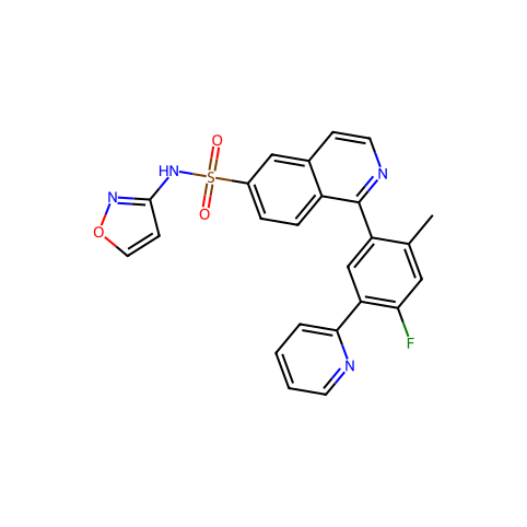 Cc1cc(F)c(-c2ccccn2)cc1-c1nccc2cc(S(=O)(=O)Nc3ccon3)ccc12